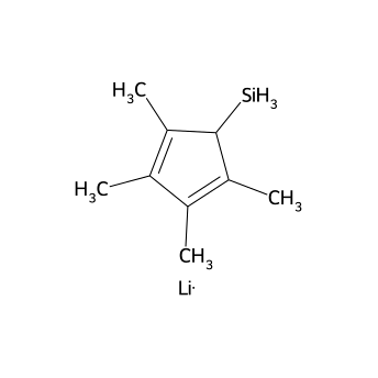 CC1=C(C)C([SiH3])C(C)=C1C.[Li]